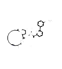 COc1cccc(-c2cccc(C(=O)N(C)C[C@@H]3[C@H]4C(=O)NC(C(=O)O)[C@@H](C)/C=C\CCCCCCC(=O)N4C[C@@H]3O)n2)c1